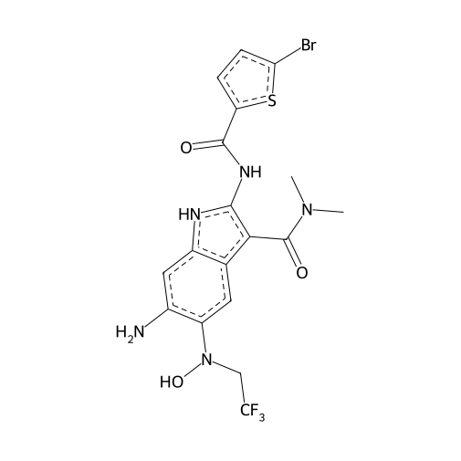 CN(C)C(=O)c1c(NC(=O)c2ccc(Br)s2)[nH]c2cc(N)c(N(O)CC(F)(F)F)cc12